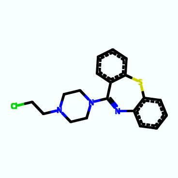 ClCCN1CCN(C2=Nc3ccccc3Sc3ccccc32)CC1